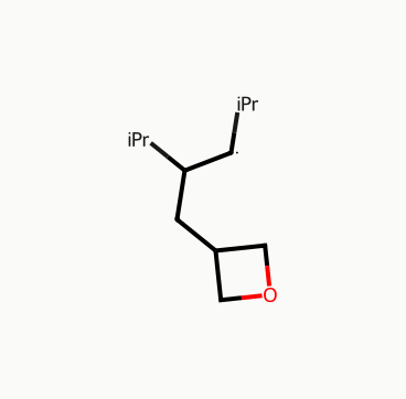 CC(C)[CH]C(CC1COC1)C(C)C